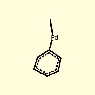 [I][Pd][c]1ccccc1